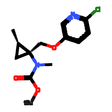 C[C@H]1C[C@]1(COc1ccc(Cl)nc1)N(C)C(=O)OC(C)(C)C